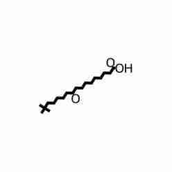 CC(C)(C)CCCCCC(=O)CCCCCCCCC(=O)O